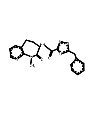 CN1C(=O)C(NC(=O)c2nnc(Cc3ccccc3)o2)CCc2cccnc21